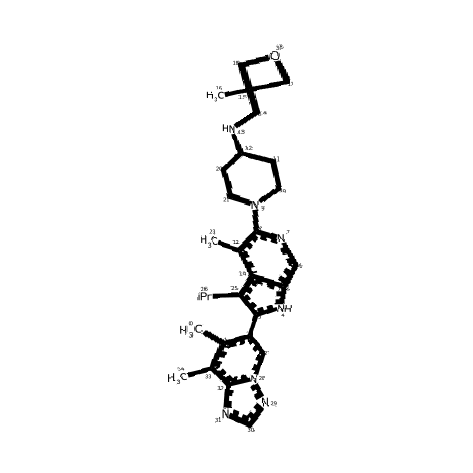 Cc1c(-c2[nH]c3cnc(N4CCC(NCC5(C)COC5)CC4)c(C)c3c2C(C)C)cn2ncnc2c1C